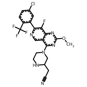 COc1nc(N2CCNC(CC#N)C2)c2cnc(-c3cc(Cl)ccc3C(F)(F)F)c(F)c2n1